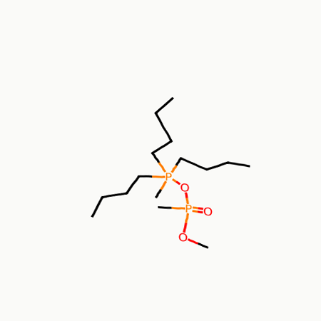 CCCCP(C)(CCCC)(CCCC)OP(C)(=O)OC